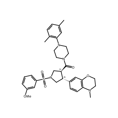 COc1cccc(S(=O)(=O)N2C[C@@H](C(=O)N3CCN(c4cc(C)ccc4C)CC3)[C@H](c3ccc4c(c3)OCCN4C)C2)c1